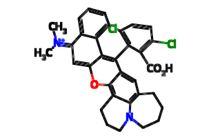 C[N+](C)=c1cc2oc3c4c5c(cc3c(-c3c(Cl)ccc(Cl)c3C(=O)O)c-2c2ccccc12)CCCCN5CCC4